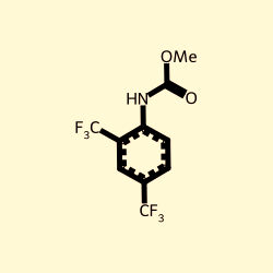 COC(=O)Nc1ccc(C(F)(F)F)cc1C(F)(F)F